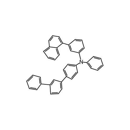 c1ccc(-c2cccc(-c3ccc(N(c4ccccc4)c4cccc(-c5cccc6ccccc56)c4)cc3)c2)cc1